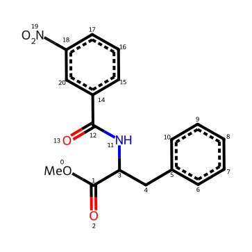 COC(=O)C(Cc1ccccc1)NC(=O)c1cccc([N+](=O)[O-])c1